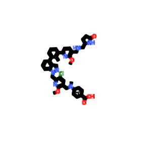 COc1nc(-c2cccc(-c3cccc4c3cnn4Cc3nc(OC)c(CN(C)C45CCC(C(=O)O)(CC4)CC5)cc3Cl)c2C)ccc1CNCC1CCC(=O)N1